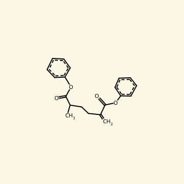 C=C(CCC(C)C(=O)Oc1ccccc1)C(=O)Oc1ccccc1